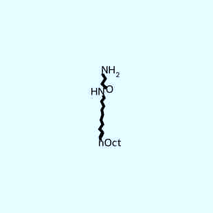 CCCCCCCCC=CCCCCCCCCNC(=O)CCCN